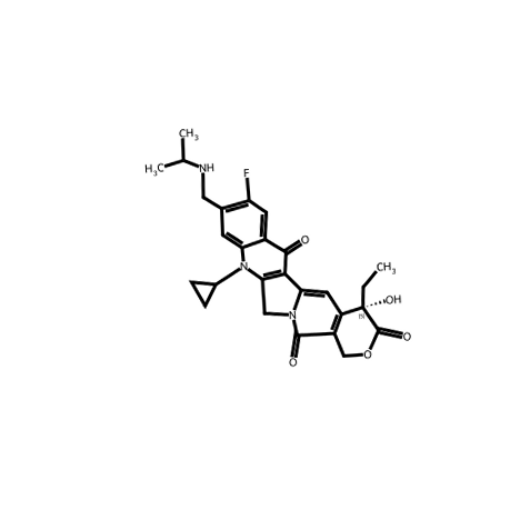 CC[C@@]1(O)C(=O)OCc2c1cc1n(c2=O)Cc2c-1c(=O)c1cc(F)c(CNC(C)C)cc1n2C1CC1